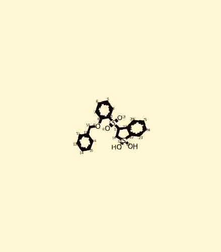 O=S(=O)(c1ccccc1OCc1ccccc1)C1CS(O)(O)c2ccccc21